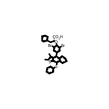 Cc1sc2c(Sc3ccccc3)c3ccccc3c(-c3cc(Br)c(O[C@H](Cc4ccccc4)C(=O)O)c(Br)c3)c2c1C